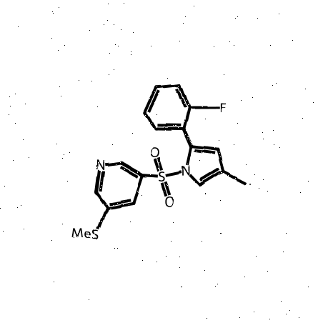 [CH2]c1cc(-c2ccccc2F)n(S(=O)(=O)c2cncc(SC)c2)c1